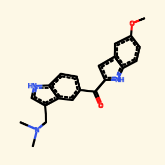 COc1ccc2[nH]c(C(=O)c3ccc4[nH]cc(CN(C)C)c4c3)cc2c1